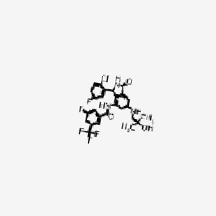 CC(C)(O)CNc1cc(NC(=O)c2cc(F)cc(C(F)(F)F)c2)c2c(c1)C(=O)NC2c1cc(F)ccc1Cl